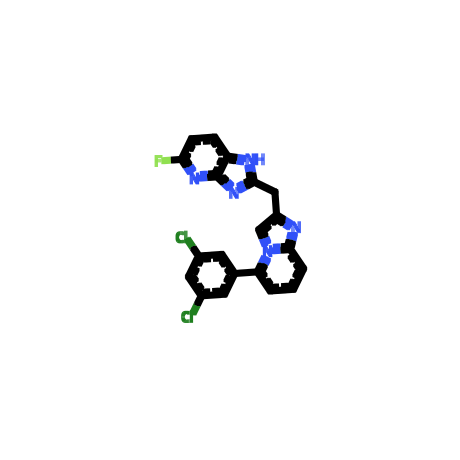 Fc1ccc2[nH]c(Cc3cn4c(-c5cc(Cl)cc(Cl)c5)cccc4n3)nc2n1